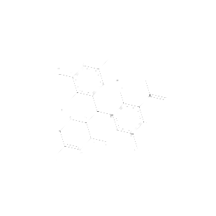 C=C(C)c1cc(C)cc(C(c2cc(C)cc(C(C)(C)C)c2O)C2CCC(C)=CC2C)c1O